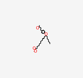 CCCCCCC(CC=CCCCCCCCC(=O)OC)Oc1ccc(CCC(C)=O)cc1